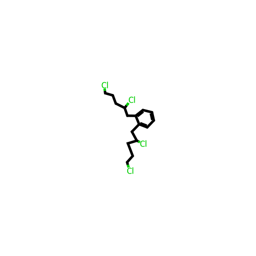 ClCCCC(Cl)Cc1ccccc1CC(Cl)CCCCl